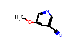 COc1[c]ncc(C#N)c1